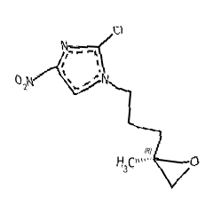 C[C@@]1(CCCn2cc([N+](=O)[O-])nc2Cl)CO1